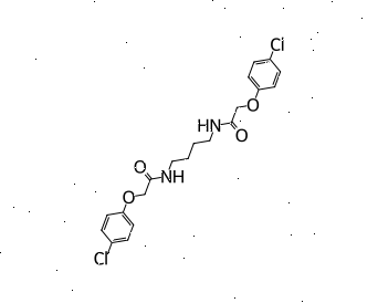 O=C(COc1ccc(Cl)cc1)NCCCCNC(=O)COc1ccc(Cl)cc1